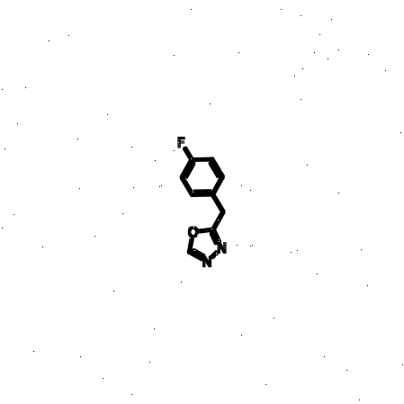 Fc1ccc(Cc2nnco2)cc1